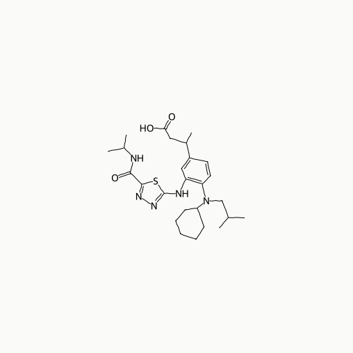 CC(C)CN(c1ccc(C(C)CC(=O)O)cc1Nc1nnc(C(=O)NC(C)C)s1)C1CCCCC1